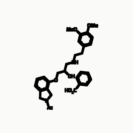 COc1ccc(CCNCC(O)COc2cccc3c2CN(C(C)=O)C3)cc1OC.O=C(O)c1ccccc1